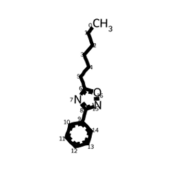 CCCCCCc1nc(-c2cc[c]cc2)no1